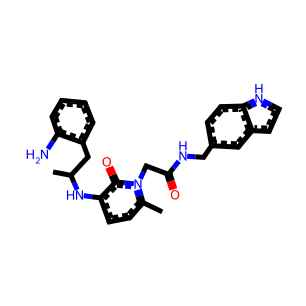 Cc1ccc(NC(C)Cc2ccccc2N)c(=O)n1CC(=O)NCc1ccc2[nH]ccc2c1